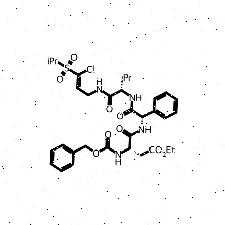 CCOC(=O)C[C@H](NC(=O)OCc1ccccc1)C(=O)N[C@H](C(=O)N[C@H](C(=O)NC/C=C(\Cl)S(=O)(=O)C(C)C)C(C)C)c1ccccc1